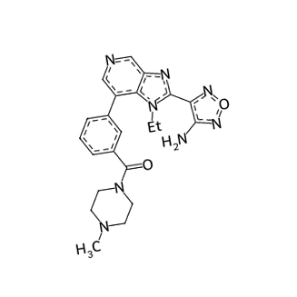 CCn1c(-c2nonc2N)nc2cncc(-c3cccc(C(=O)N4CCN(C)CC4)c3)c21